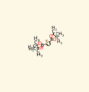 C=C1OB(c2ccc(B3OC(C)(C)C(C)(C)O3)s2)OC1(C)C